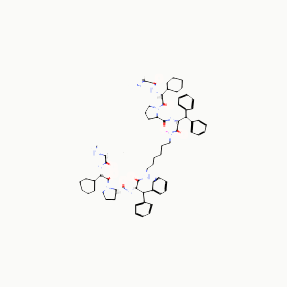 CN[C@@H](C)C(=O)N[C@H](C(=O)N1CCCC1C(=O)N[C@H](C(=O)NCCCCCCNC(=O)[C@@H](NC(=O)[C@@H]1CCCN1C(=O)[C@@H](NC(=O)[C@H](C)NC)C1CCCCC1)C(c1ccccc1)c1ccccc1)C(c1ccccc1)c1ccccc1)C1CCCCC1